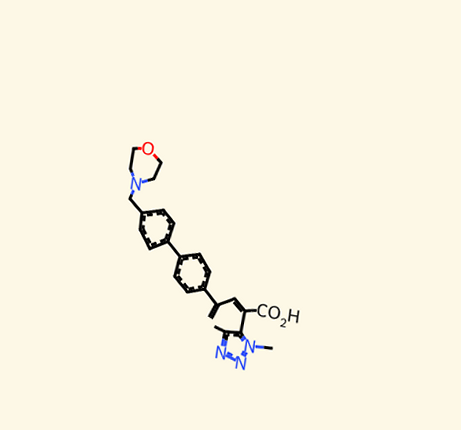 C=C(/C=C(/C(=O)O)c1c(C)nnn1C)c1ccc(-c2ccc(CN3CCOCC3)cc2)cc1